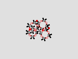 C[Si]1(C)O[Si](C)(C)O[Si](C)([Si]([Si]2(C)O[Si](C)(C)O[Si](C)(C)O[Si](C)(C)O2)([Si]2(C)O[Si](C)(C)O[Si](C)(C)O[Si](C)(C)O2)[Si]2(C)O[Si](C)(C)O[Si](C)(C)O[Si](C)(C)O2)O[Si](C)(C)O1